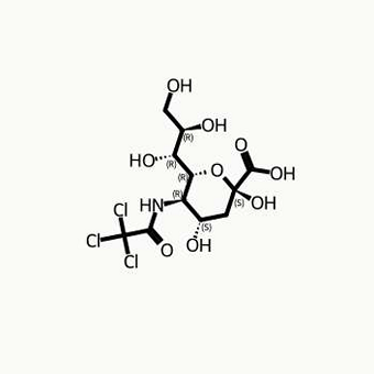 O=C(N[C@H]1[C@H]([C@H](O)[C@H](O)CO)O[C@](O)(C(=O)O)C[C@@H]1O)C(Cl)(Cl)Cl